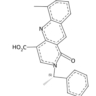 Cc1cccc2cc3c(=O)n([C@@H](C)c4ccccc4)cc(C(=O)O)c3nc12